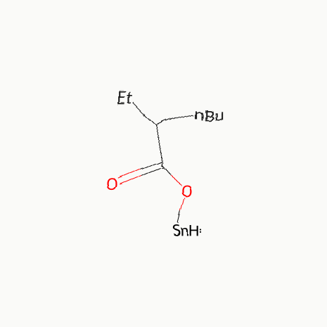 CCCCC(CC)C(=O)[O][SnH]